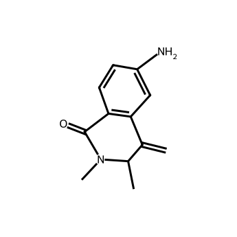 C=C1c2cc(N)ccc2C(=O)N(C)C1C